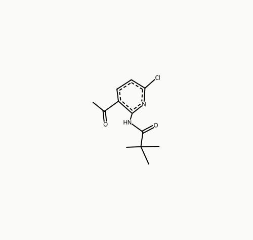 CC(=O)c1ccc(Cl)nc1NC(=O)C(C)(C)C